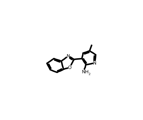 Cc1cnc(N)c(-c2nc3ccccc3o2)c1